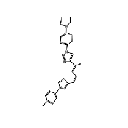 CCN(CC)c1ccc(-n2cc(/C(C)=C/C=C\c3cn(-c4ccc(C)cc4)cn3)nn2)cc1